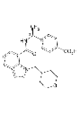 C[C@H](NC(=O)c1cccc2ccn(CC3CCOCC3)c12)c1ccc(C(=O)O)cc1